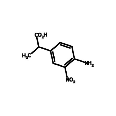 CC(C(=O)O)c1ccc(N)c([N+](=O)[O-])c1